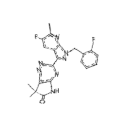 Cc1nc2c(cc1F)c(-c1nnc3c(n1)NC(=O)C3(C)C)nn2Cc1ccccc1F